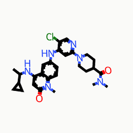 CC(Nc1cc(=O)n(C)c2ccc(Nc3cc(N4CCC(C(=O)N(C)C)CC4)ncc3Cl)cc12)C1CC1